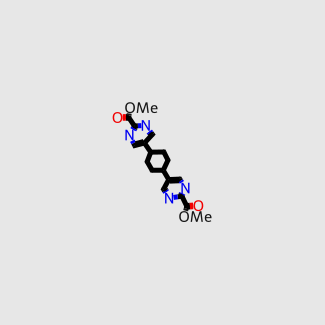 COC(=O)c1ncc(C2CCC(c3cnc(C(=O)OC)nc3)CC2)cn1